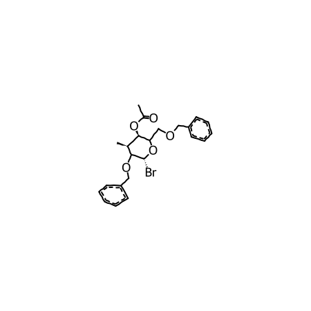 CC(=O)O[C@H]1C(COCc2ccccc2)O[C@H](Br)C(OCc2ccccc2)[C@H]1C